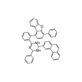 c1ccc(-c2ccc(-c3ccccc3C3=NC(c4ccccc4)NC(c4ccc5ccc6ccccc6c5c4)N3)c3c2oc2ccccc23)cc1